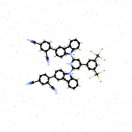 N#Cc1ccc(-c2ccc3c(c2)c2ccccc2n3-c2cc(-c3cc(C(F)(F)F)cc(C(F)(F)F)c3)cc(-n3c4ccccc4c4cc(-c5ccc(C#N)cc5C#N)ccc43)n2)c(C#N)c1